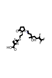 CC(O)(C/C=C/[C@H]1CCC(=O)[C@@H]1CCSc1nc(C(=O)O)cs1)CCC(F)=C(F)F